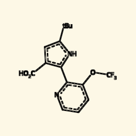 CC(C)(C)c1cc(C(=O)O)c(-c2ncccc2OC(F)(F)F)[nH]1